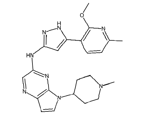 COc1nc(C)ccc1-c1cc(Nc2cnc3ccn(C4CCN(C)CC4)c3n2)n[nH]1